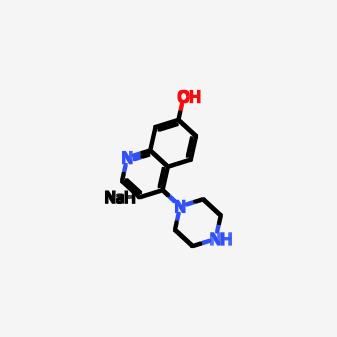 Oc1ccc2c(N3CCNCC3)ccnc2c1.[NaH]